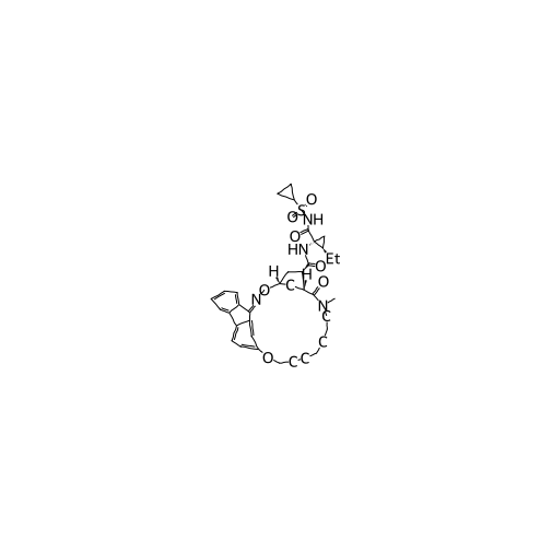 CC[C@@H]1C[C@]1(NC(=O)[C@@H]1C[C@@H]2C[C@H]1C(=O)N(C)CCCCCCCOc1ccc3c(c1)C(=NO2)c1ccccc1-3)C(=O)NS(=O)(=O)C1CC1